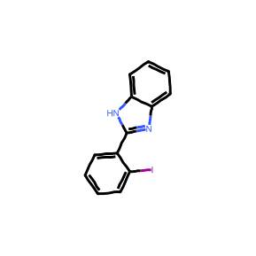 Ic1ccccc1-c1nc2ccccc2[nH]1